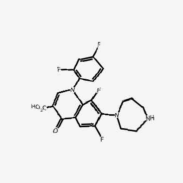 O=C(O)c1cn(-c2ccc(F)cc2F)c2c(F)c(N3CCCNCC3)c(F)cc2c1=O